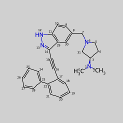 CN(C)[C@@H]1CCN(Cc2ccc3[nH]nc(C#Cc4ccccc4-c4ccccc4)c3c2)C1